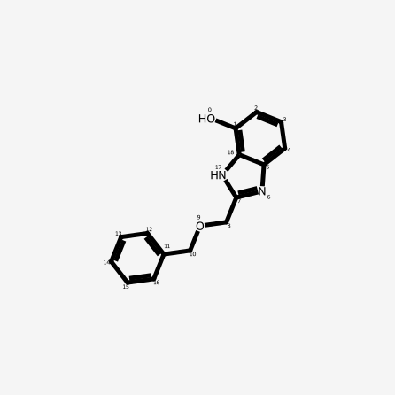 Oc1cccc2nc(COCc3ccccc3)[nH]c12